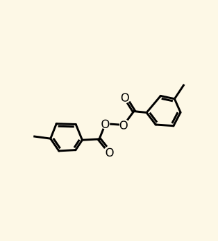 Cc1ccc(C(=O)OOC(=O)c2cccc(C)c2)cc1